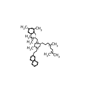 Cc1ccc(C[C@H](CN2C[C@@H](C)N(CCc3ccc4ccccc4c3)C[C@@H]2CCCN(C)CCN(C)C)N(C)C)c(C)c1